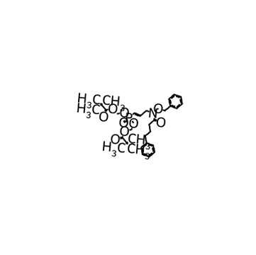 CC(C)(C)C(=O)OCOP(=O)(/C=C/CN(OCc1ccccc1)C(=O)CCCc1ccccc1)OCOC(=O)C(C)(C)C